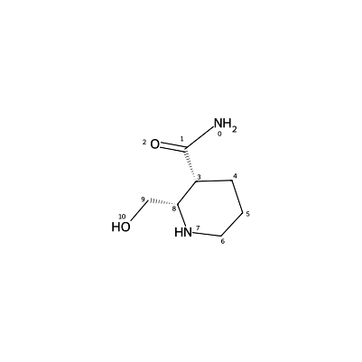 NC(=O)[C@@H]1CCCN[C@@H]1CO